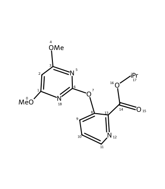 COc1cc(OC)nc(Oc2cccnc2C(=O)OC(C)C)n1